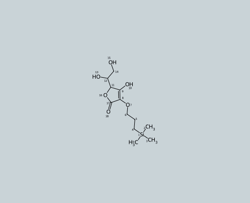 C[Si](C)(C)CCCOC1=C(O)C(C(O)CO)OC1=O